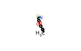 CCc1ccc(C2CCC(C(=O)OC3CCC(/C=C(/F)C#N)CC3)CC2)cc1